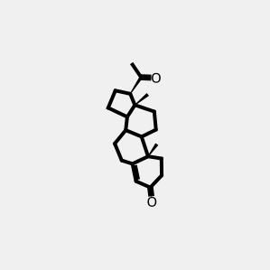 CC(=O)[C@@H]1CCC2C3CCC4=CC(=O)CC[C@@]4(C)C3CC[C@]21C